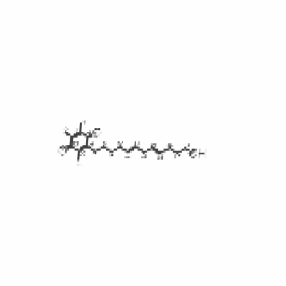 CC1=C(C)C(=O)C(CCCCC=CCC=CCCCO)=C(C)C1=O